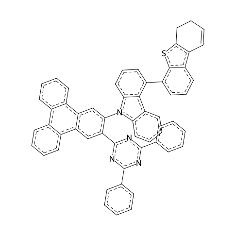 C1=Cc2c(sc3c(-c4cccc5c4c4ccccc4n5-c4cc5c6ccccc6c6ccccc6c5cc4-c4nc(-c5ccccc5)nc(-c5ccccc5)n4)cccc23)CC1